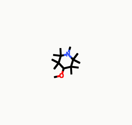 COC1C(C)(C)C(C)(C)N(C)C(C)(C)C1(C)C